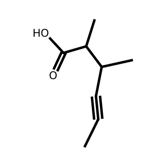 CC#CC(C)C(C)C(=O)O